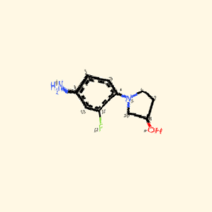 Nc1ccc(N2CCC(O)C2)c(F)c1